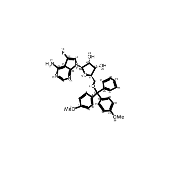 COc1ccc(C(OC[C@H]2O[C@@H](n3cc(F)c4c(N)ncnc43)[C@H](O)[C@@H]2O)(c2ccccc2)c2ccc(OC)cc2)cc1